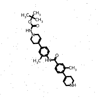 Cc1cc(C2=CCN(NC(=O)OC(C)(C)C)CC2)ccc1NC(=O)c1ccc(C2=CCNCC2)c(C)c1